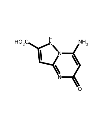 Nc1cc(=O)nc2cc(C(=O)O)[nH]n12